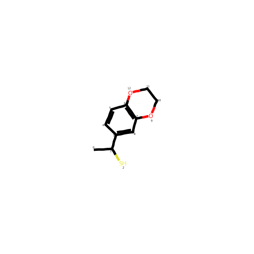 CC(S)c1ccc2c(c1)OCCO2